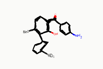 COc1ccc(C(=O)c2ccc(N)cc2)c(O)c1-c1cccc([N+](=O)[O-])c1